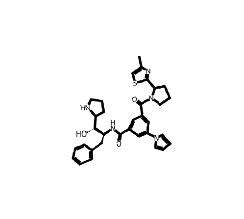 Cc1csc(C2CCCN2C(=O)c2cc(C(=O)N[C@@H](Cc3ccccc3)[C@H](O)C3CCCN3)cc(-n3cccc3)c2)n1